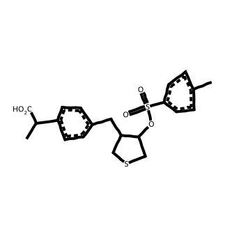 Cc1ccc(S(=O)(=O)OC2CSCC2Cc2ccc(C(C)C(=O)O)cc2)cc1